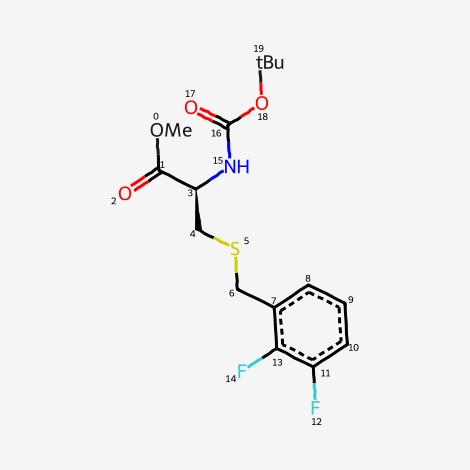 COC(=O)[C@H](CSCc1cccc(F)c1F)NC(=O)OC(C)(C)C